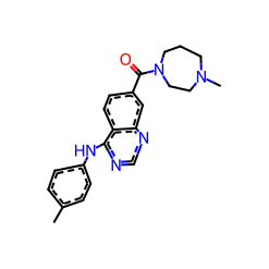 Cc1ccc(Nc2ncnc3cc(C(=O)N4CCCN(C)CC4)ccc23)cc1